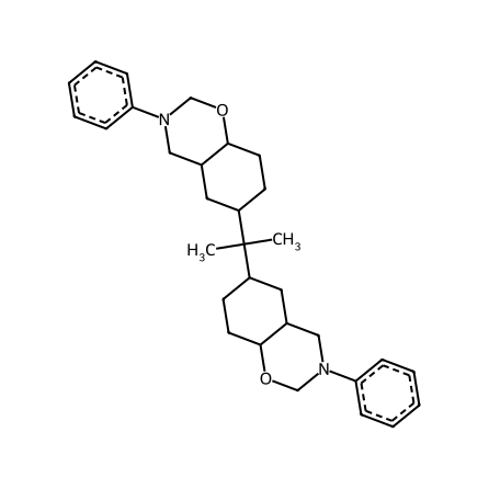 CC(C)(C1CCC2OCN(c3ccccc3)CC2C1)C1CCC2OCN(c3ccccc3)CC2C1